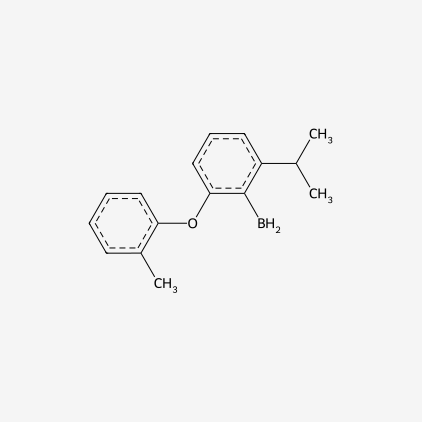 Bc1c(Oc2ccccc2C)cccc1C(C)C